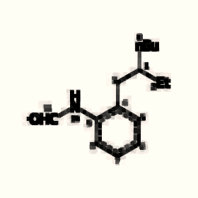 CCCCC(CC)Cc1ccccc1N[C]=O